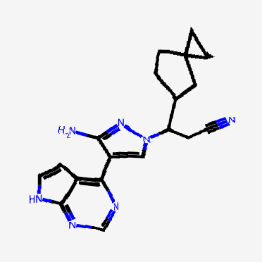 N#CCC(C1CCC2(CC2)C1)n1cc(-c2ncnc3[nH]ccc23)c(N)n1